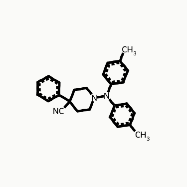 Cc1ccc(N(c2ccc(C)cc2)N2CCC(C#N)(c3ccccc3)CC2)cc1